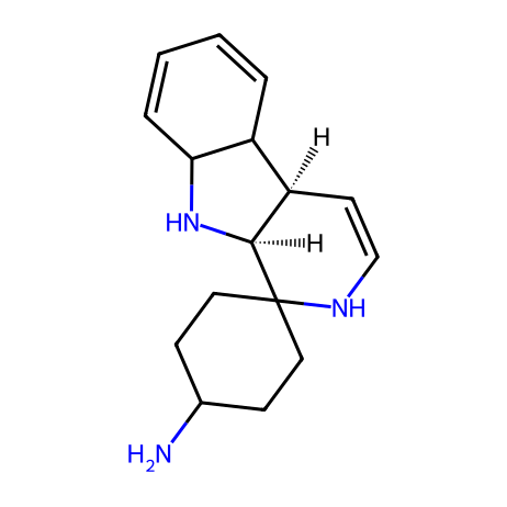 NC1CCC2(CC1)NC=C[C@@H]1C3C=CC=CC3N[C@@H]12